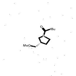 COC[C@H]1CCN(C(=O)C(C)(C)C)C1